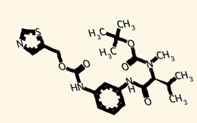 CC(C)[C@@H](C(=O)Nc1cccc(NC(=O)OCc2cncs2)c1)N(C)C(=O)OC(C)(C)C